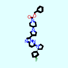 O=C(OCc1ccccc1)N1CCC(N2CC=C(c3cnc4ccc(N5CCC[C@@H]5c5cccc(F)c5)nn34)C2)CC1